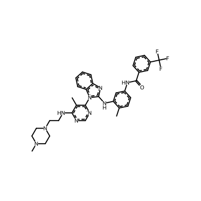 Cc1ccc(NC(=O)c2cccc(C(F)(F)F)c2)cc1Nc1nc2ccccc2n1-c1ncnc(NCCN2CCN(C)CC2)c1C